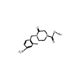 CC(C)(C)OC(=O)N1CCN(Cc2ccc([N+](=O)[O-])cc2F)C(=O)C1